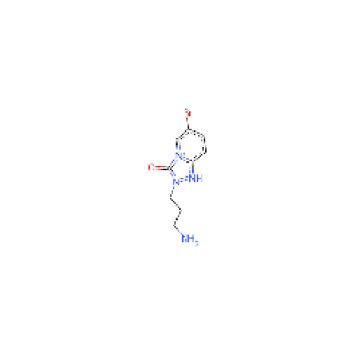 NCCCn1[nH]c2ccc(Br)c[n+]2c1=O